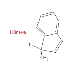 Br.Br.C[C]1([Ti])C=Cc2ccccc21